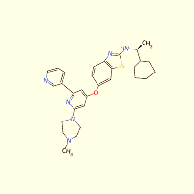 C[C@H](Nc1nc2ccc(Oc3cc(-c4cccnc4)nc(N4CCN(C)CC4)c3)cc2s1)C1CCCCC1